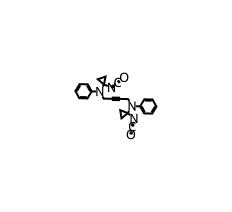 O=C=NC1(N(CC#CCN(c2ccccc2)C2(N=C=O)CC2)c2ccccc2)CC1